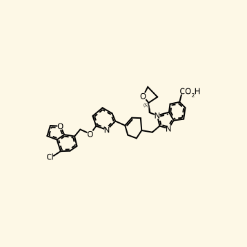 O=C(O)c1ccc2nc(CC3CC=C(c4cccc(OCc5ccc(Cl)c6ccoc56)n4)CC3)n(C[C@@H]3CCO3)c2c1